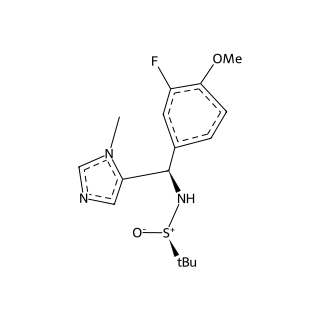 COc1ccc([C@@H](N[S@+]([O-])C(C)(C)C)c2cncn2C)cc1F